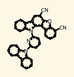 N#Cc1cccc2c1oc1c(C#N)cc3c4ccccc4n(-c4cccc(-n5c6ccccc6c6ccccc65)n4)c3c12